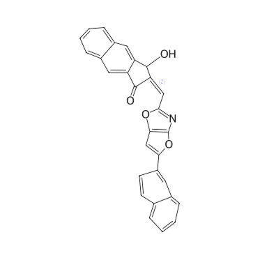 O=C1/C(=C\c2nc3oc(-c4ccc5ccccc5c4)cc3o2)C(O)c2cc3ccccc3cc21